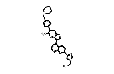 CCn1cnc(-c2ccc3c(-c4cnc5cc(-c6ccc(CN7CCOCC7)cc6)c(C)nn45)ccnc3n2)c1